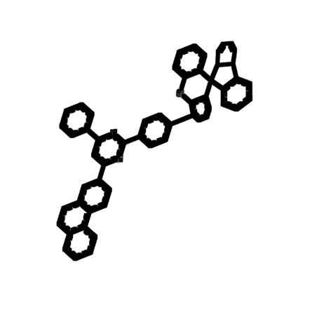 C1=CC2c3ccccc3C3(c4ccccc4Oc4c(-c5ccc(-c6nc(-c7ccccc7)cc(-c7ccc8c(ccc9ccccc98)c7)n6)cc5)cccc43)C2C=C1